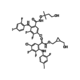 CC(C)(CCO)ONC(=O)c1cc(Cl)c(F)c(F)c1Nc1ccc(I)cc1F.O=C(NOCC1CC1CO)c1cc(Cl)c(F)c(F)c1Nc1ccc(I)cc1F